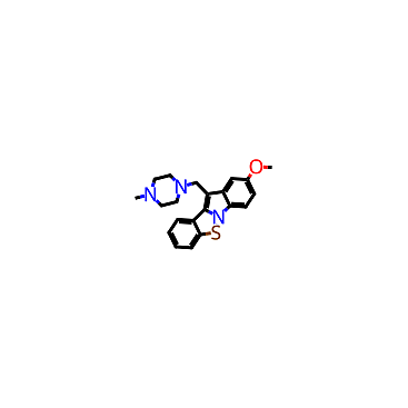 COc1ccc2c(c1)c(CN1CCN(C)CC1)c1c3ccccc3sn21